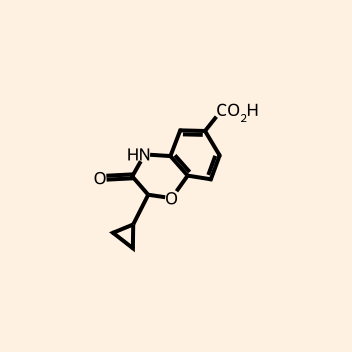 O=C(O)c1ccc2c(c1)NC(=O)C(C1CC1)O2